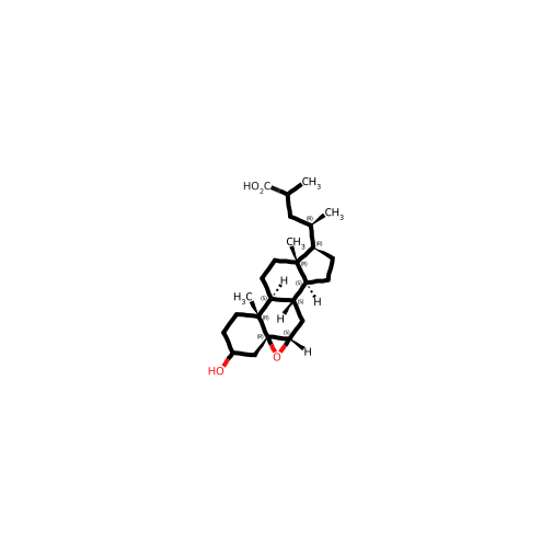 CC(C[C@@H](C)[C@H]1CC[C@H]2[C@@H]3C[C@@H]4O[C@@]45CC(O)CC[C@]5(C)[C@H]3CC[C@]12C)C(=O)O